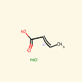 C/C=C/C(=O)O.Cl